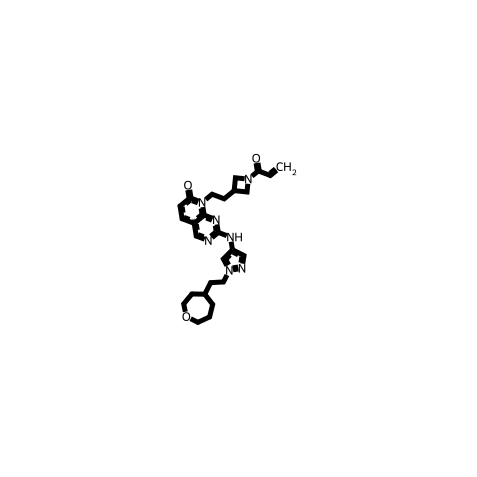 C=CC(=O)N1CC(CCn2c(=O)ccc3cnc(Nc4cnn(CCC5CCCOCC5)c4)nc32)C1